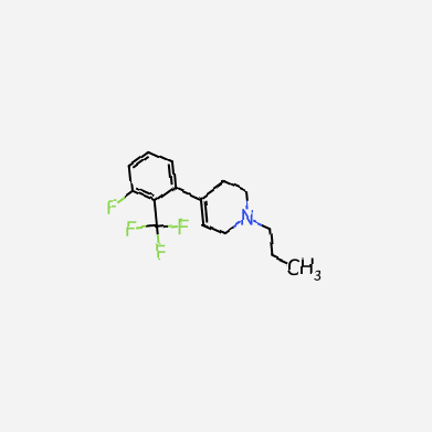 CCCN1CC=C(c2cccc(F)c2C(F)(F)F)CC1